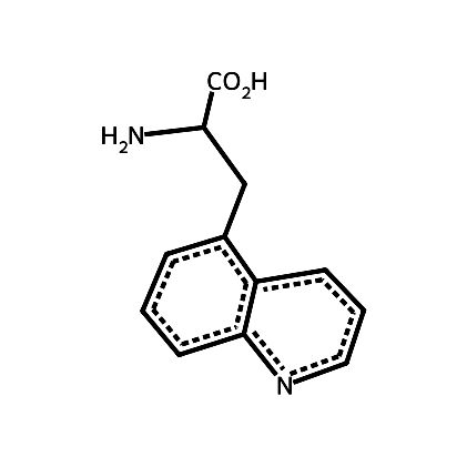 NC(Cc1cccc2ncccc12)C(=O)O